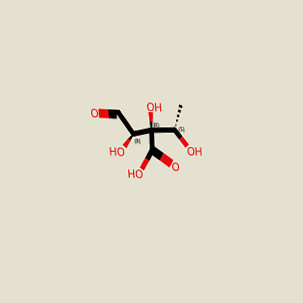 C[C@H](O)[C@](O)(C(=O)O)[C@@H](O)C=O